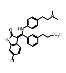 CN(C)CCc1ccc(N/C(=C2\C(=O)Nc3cc(Cl)ccc32)c2cccc(CCC(=O)O)c2)cc1